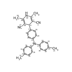 CC1=C(C#N)C(c2ccc(N(c3ccc(C)cc3)c3ccc(C)cc3)cc2)C(C#N)=C(C)N1